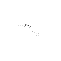 CCCCC1COC(C2CCC(c3ccc(C(F)(F)Oc4ccc(OC=C(F)F)cc4)c(F)c3)CC2)OC1